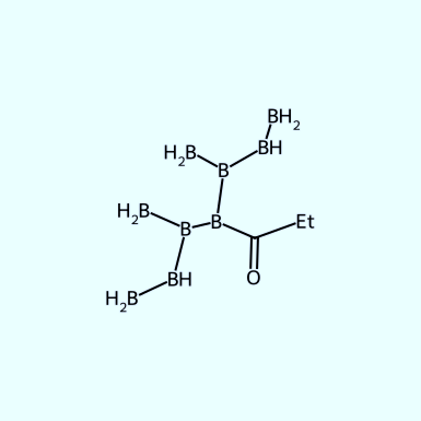 BBB(B)B(B(B)BB)C(=O)CC